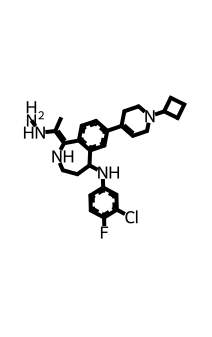 C/C(NN)=C1/NCCC(Nc2ccc(F)c(Cl)c2)c2cc(C3=CCN(C4CCC4)CC3)ccc21